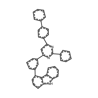 c1ccc(-c2ccc(-c3cc(-c4cccc(-c5cccc6[nH]c7ccccc7c56)c4)nc(-c4ccccc4)n3)cc2)cc1